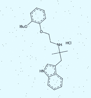 CC(C)COc1ccccc1OCCNC(C)(C)Cc1c[nH]c2ccccc12.Cl